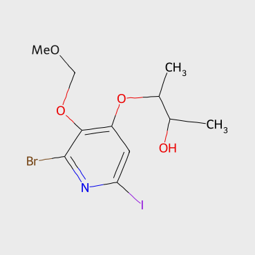 COCOc1c(OC(C)C(C)O)cc(I)nc1Br